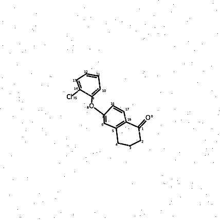 O=C1CCCc2cc(Oc3ccccc3Cl)ccc21